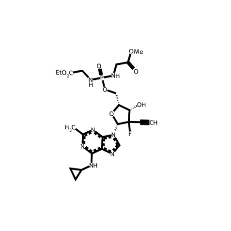 C#CC1(F)[C@@H](O)[C@@H](COP(=O)(NCC(=O)OC)NCC(=O)OCC)O[C@H]1n1cnc2c(NC3CC3)nc(C)nc21